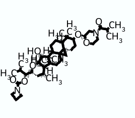 CC(C)C(=O)N1CCO[C@@H](OC2CC[C@]34CC35CC[C@]3(C)[C@@H]6[C@H](O[C@@H]([C@H](OC(=O)N7CCC7)C(C)C)C[C@H]6C)[C@H](O)[C@@]3(C)[C@@H]5CC[C@H]4C2(C)C)C1